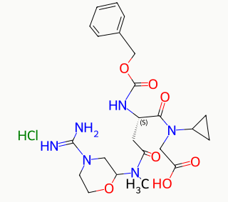 CN(C(=O)C[C@H](NC(=O)OCc1ccccc1)C(=O)N(CC(=O)O)C1CC1)C1CN(C(=N)N)CCO1.Cl